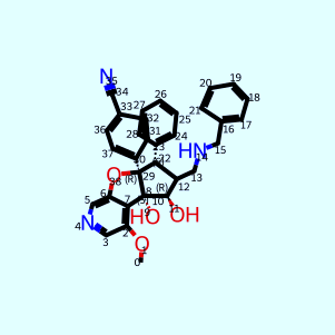 COc1cncc2c1[C@]1(O)[C@H](O)C(CNCc3ccccc3)[C@@H](c3ccccc3)[C@]1(c1ccc(C#N)cc1)O2